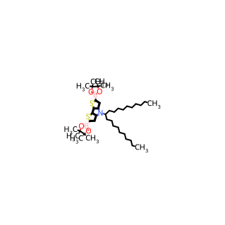 CCCCCCCCCCC(CCCCCCCCCC)n1c2cc(B3OC(C)(C)C(C)(C)O3)sc2c2sc(B3OC(C)(C)C(C)(C)O3)cc21